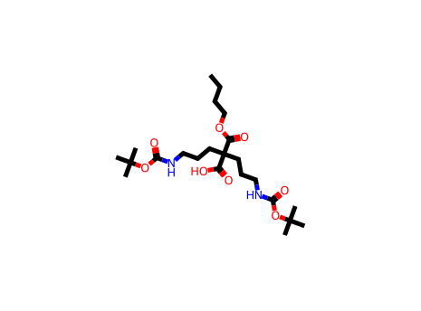 CCCCOC(=O)C(CCCNC(=O)OC(C)(C)C)(CCCNC(=O)OC(C)(C)C)C(=O)O